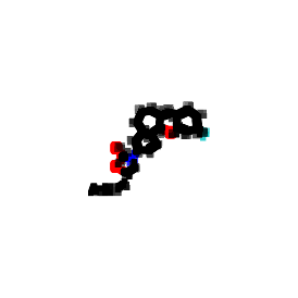 CC(=O)NC[C@H]1CN(c2ccc3c(c2)CCC/C(=C/c2ccc(F)cc2)C3=O)C(=O)O1